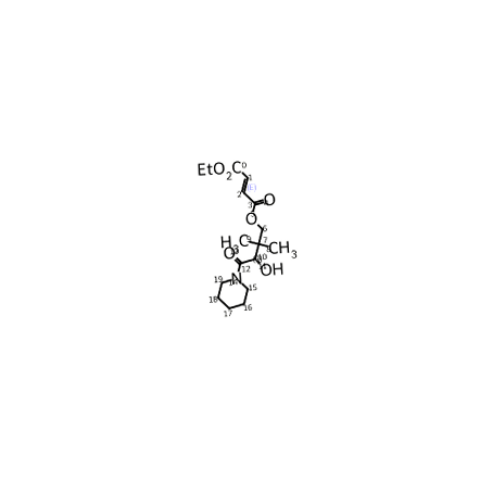 CCOC(=O)/C=C/C(=O)OCC(C)(C)[C@@H](O)C(=O)N1CCCCC1